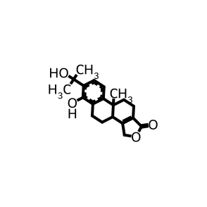 CC(C)(O)c1ccc2c(c1O)CCC1C3=C(CCC21C)C(=O)OC3